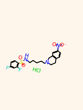 Cl.O=[N+]([O-])c1ccc2c(c1)CN(CCCCCNS(=O)(=O)c1ccc(F)cc1F)CC2